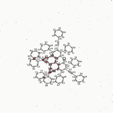 C(#Cc1ccccc1-c1c(C#Cc2ccccc2)c(-c2ccccc2)c(C#Cc2ccccc2)c(-c2ccccc2)c1Oc1c(-c2ccccc2)c(C#Cc2ccccc2)c(-c2ccccc2)c(C#Cc2ccccc2)c1-c1ccccc1C#Cc1ccccc1)c1ccccc1